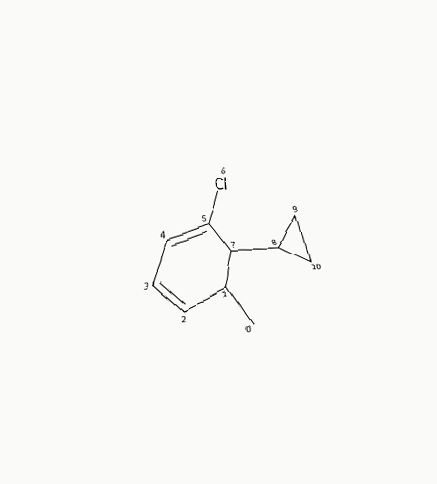 CC1C=CC=C(Cl)C1C1CC1